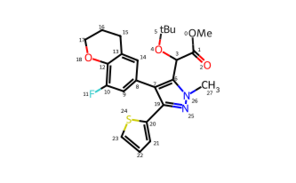 COC(=O)C(OC(C)(C)C)c1c(-c2cc(F)c3c(c2)CCCO3)c(-c2cccs2)nn1C